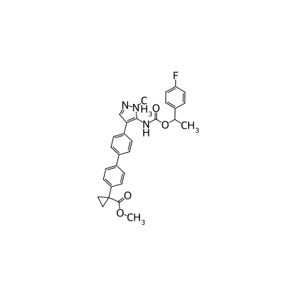 COC(=O)C1(c2ccc(-c3ccc(-c4cnn(C)c4NC(=O)OC(C)c4ccc(F)cc4)cc3)cc2)CC1